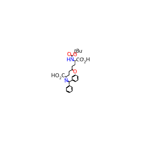 CC(C)(C)OC(=O)NC(CCC(=O)CCC(N=C(c1ccccc1)c1ccccc1)C(=O)O)C(=O)O